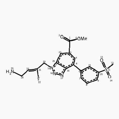 COC(=O)c1cc(-c2cccc(S(C)(=O)=O)c2)c2nnn(C/C(F)=C/CN)c2c1